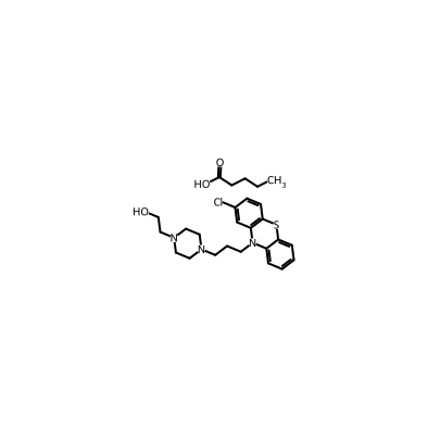 CCCCC(=O)O.OCCN1CCN(CCCN2c3ccccc3Sc3ccc(Cl)cc32)CC1